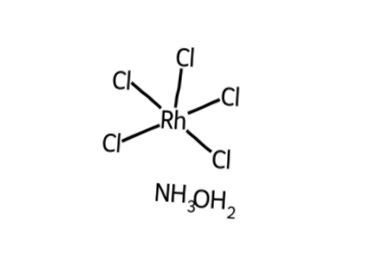 N.O.[Cl][Rh]([Cl])([Cl])([Cl])[Cl]